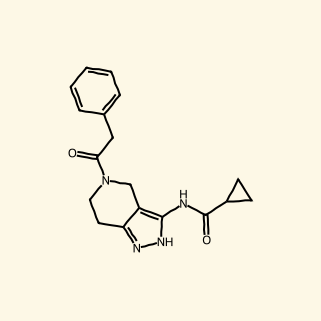 O=C(Nc1[nH]nc2c1CN(C(=O)Cc1ccccc1)CC2)C1CC1